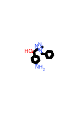 Nc1ccc(C(O)c2nncn2Cc2ccccc2)cc1